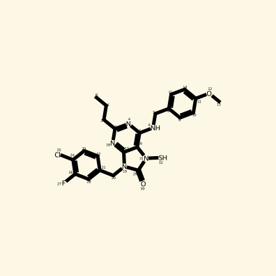 CCCc1nc(NCc2ccc(OC)cc2)c2c(n1)n(Cc1ccc(Cl)c(F)c1)c(=O)n2S